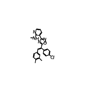 CNc1ncccc1-c1noc(C(=Cc2ccc(C)c(C)c2)c2ccc(Cl)cc2)n1